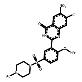 CCCOc1ccc(S(=O)(=O)N2CCN(C(C)=O)CC2)cc1-c1nc2cc(Cl)c([N+](=O)[O-])cc2c(=O)[nH]1